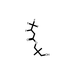 CC(C)(CO)COC(=O)CC(F)C(F)(F)F